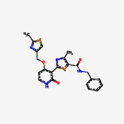 Cc1nc(COc2cc[nH]c(=O)c2-c2nc(C)c(C(=O)NCc3ccccc3)s2)cs1